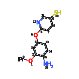 CC(C)Oc1cc(Oc2ccc(S)cn2)ccc1N